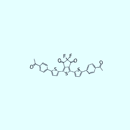 CC(=O)c1ccc(-c2ccc(-c3sc(-c4ccc(-c5ccc(C(C)=O)cc5)s4)c4c3C(=O)C(F)(F)C4=O)s2)cc1